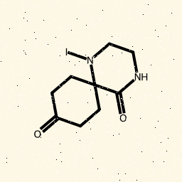 O=C1CCC2(CC1)C(=O)NCCN2I